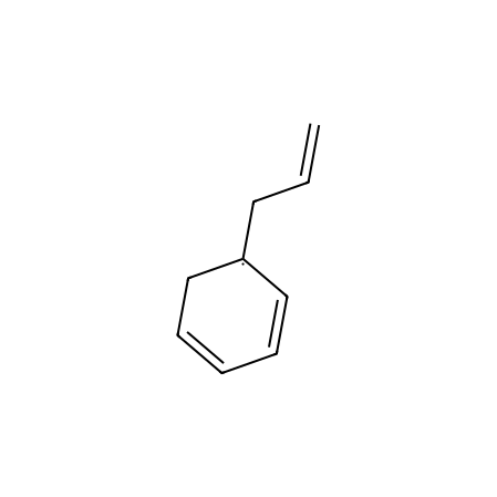 C=CC[C]1C=CC=CC1